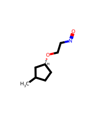 CC1CC[C@@H](OCCN=O)C1